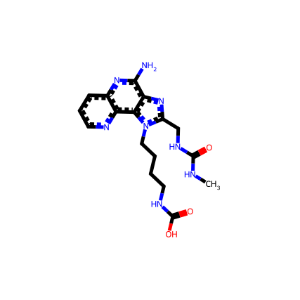 CNC(=O)NCc1nc2c(N)nc3cccnc3c2n1CCCCNC(=O)O